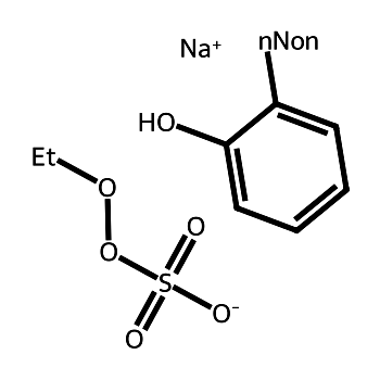 CCCCCCCCCc1ccccc1O.CCOOS(=O)(=O)[O-].[Na+]